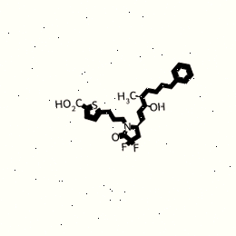 C[C@H](CCCCc1ccccc1)[C@H](O)C=C[C@H]1CC(F)(F)C(=O)N1CCCc1ccc(C(=O)O)s1